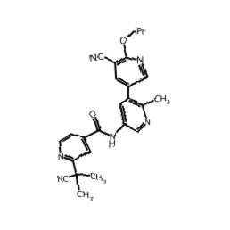 Cc1ncc(NC(=O)c2ccnc(C(C)(C)C#N)c2)cc1-c1cnc(OC(C)C)c(C#N)c1